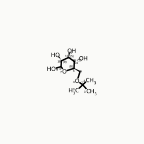 CC(C)(C)OC[C@H]1OC(O)[C@H](O)[C@@H](O)[C@@H]1O